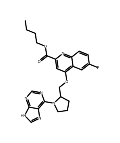 CCCCOC(=O)c1cc(OCC2CCCN2c2ncnc3[nH]cnc23)c2cc(F)ccc2n1